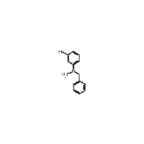 CCc1cccc(N(C)Cc2ccccc2)c1